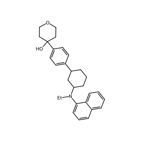 CCN(c1cccc2ccccc12)C1CCCC(c2ccc(C3(O)CCOCC3)cc2)C1